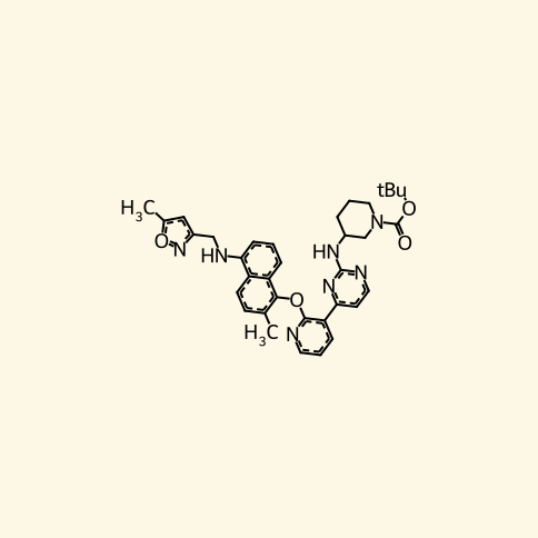 Cc1cc(CNc2cccc3c(Oc4ncccc4-c4ccnc(NC5CCCN(C(=O)OC(C)(C)C)C5)n4)c(C)ccc23)no1